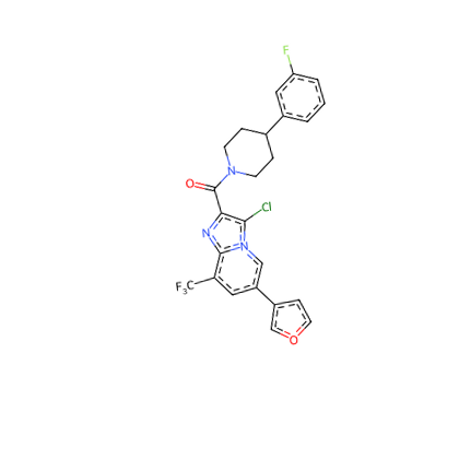 O=C(c1nc2c(C(F)(F)F)cc(-c3ccoc3)cn2c1Cl)N1CCC(c2cccc(F)c2)CC1